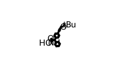 CC(C)(C)OCC#Cc1ccc(C(C(=O)NO)c2ccccc2)cc1